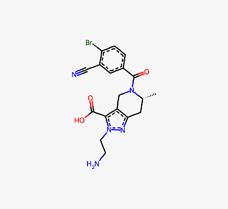 C[C@@H]1Cc2nn(CCN)c(C(=O)O)c2CN1C(=O)c1ccc(Br)c(C#N)c1